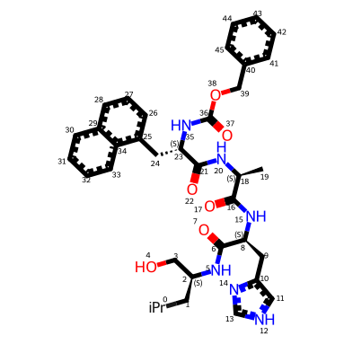 CC(C)C[C@@H](CO)NC(=O)[C@H](Cc1c[nH]cn1)NC(=O)[C@H](C)NC(=O)[C@H](Cc1cccc2ccccc12)NC(=O)OCc1ccccc1